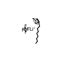 CCCCCCCCN1C=CN(C)C1.F[B-](F)(F)F.[Li+]